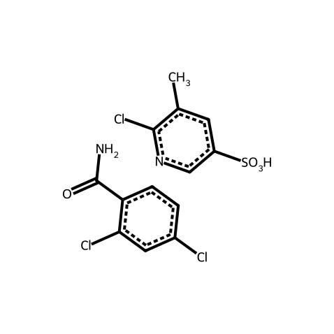 Cc1cc(S(=O)(=O)O)cnc1Cl.NC(=O)c1ccc(Cl)cc1Cl